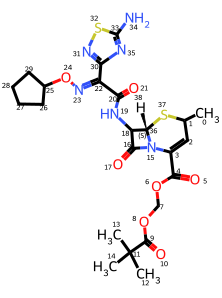 CC1C=C(C(=O)OCOC(=O)C(C)(C)C)N2C(=O)C(NC(=O)C(=NOC3CCCC3)c3nsc(N)n3)[C@@H]2S1